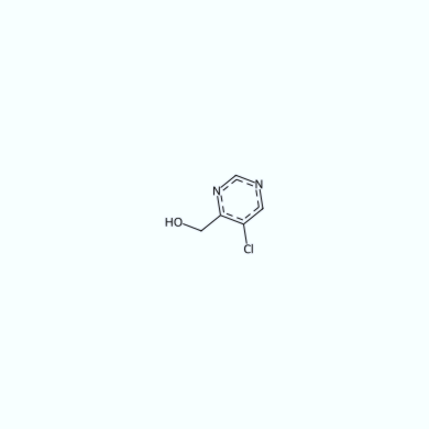 OCc1ncncc1Cl